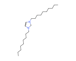 CCCCCCCCCCN1C=CN(CCCCCCCCC)C1